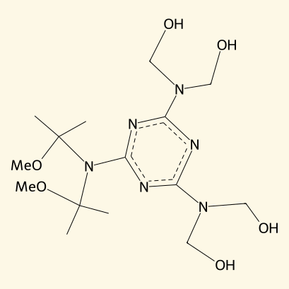 COC(C)(C)N(c1nc(N(CO)CO)nc(N(CO)CO)n1)C(C)(C)OC